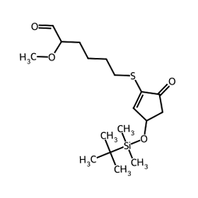 COC(C=O)CCCCSC1=CC(O[Si](C)(C)C(C)(C)C)CC1=O